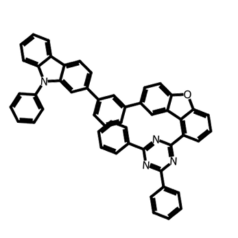 c1ccc(-c2nc(-c3ccccc3)nc(-c3cccc4oc5ccc(-c6cccc(-c7ccc8c9ccccc9n(-c9ccccc9)c8c7)c6)cc5c34)n2)cc1